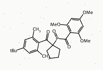 COc1cc(OC)c(C(=O)[P](=O)C2(C(=O)c3c(C)cc(C(C)(C)C)cc3C)CCCC2)c(OC)c1